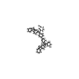 C=C/C=C(\C=C/C)N(c1ccc(-c2ccc(N(c3ccccc3)c3ccc4c(c3)sc3ccccc34)cc2)cc1)c1ccc2c(c1)sc1ccccc12